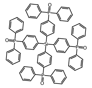 O=P(c1ccccc1)(c1ccccc1)c1ccc([Si](c2ccc(P(=O)(c3ccccc3)c3ccccc3)cc2)(c2ccc(P(=O)(c3ccccc3)c3ccccc3)cc2)c2ccc(P(=O)(c3ccccc3)c3ccccc3)cc2)cc1